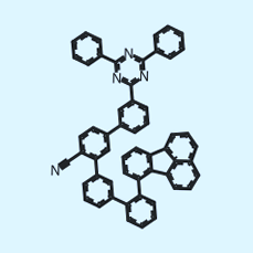 N#Cc1ccc(-c2cccc(-c3nc(-c4ccccc4)nc(-c4ccccc4)n3)c2)cc1-c1cccc(-c2ccccc2-c2cccc3c2-c2cccc4cccc-3c24)c1